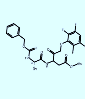 CC(C)[C@H](NC(=O)OCc1ccccc1)C(=O)NC(CC(=O)OC(C)(C)C)C(=O)COc1c(F)c(F)cc(F)c1F